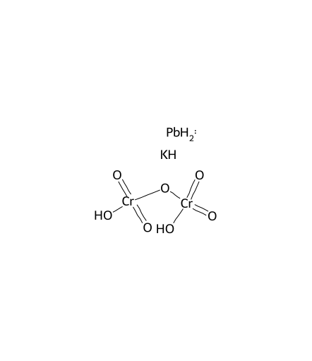 [KH].[O]=[Cr](=[O])([OH])[O][Cr](=[O])(=[O])[OH].[PbH2]